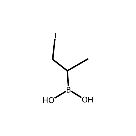 CC(CI)B(O)O